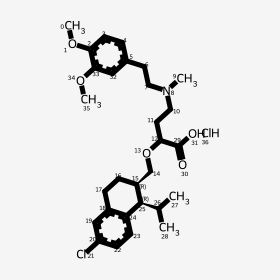 COc1ccc(CCN(C)CCC(OC[C@@H]2CCc3cc(Cl)ccc3[C@@H]2C(C)C)C(=O)O)cc1OC.Cl